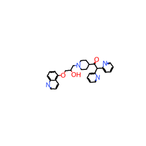 O=C(C1CCN(CC(O)COc2cccc3ncccc23)CC1)C(c1ccccn1)c1ccccn1